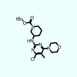 Cc1c(Cl)nc(NC2CCCN(C(=O)OC(C)(C)C)C2)nc1N1CCOCC1